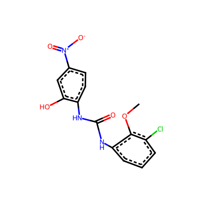 COc1c(Cl)cccc1NC(=O)Nc1ccc([N+](=O)[O-])cc1O